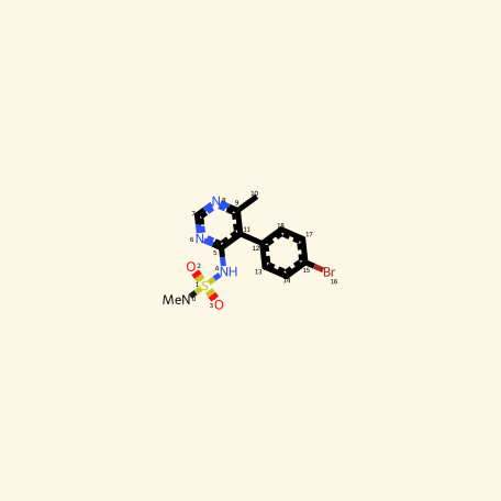 CNS(=O)(=O)Nc1ncnc(C)c1-c1ccc(Br)cc1